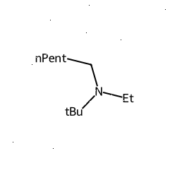 CCCCCCN(CC)C(C)(C)C